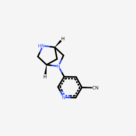 N#Cc1cncc(N2C[C@@H]3C[C@H]2CN3)c1